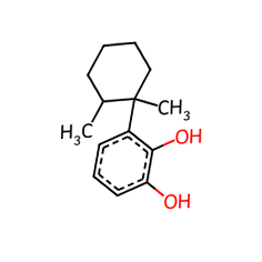 CC1CCCCC1(C)c1cccc(O)c1O